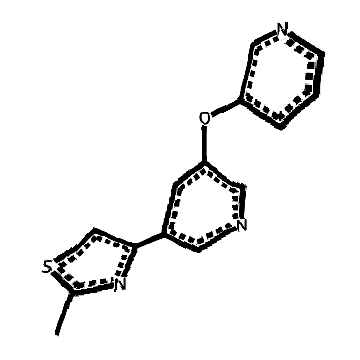 Cc1nc(-c2cncc(Oc3cccnc3)c2)cs1